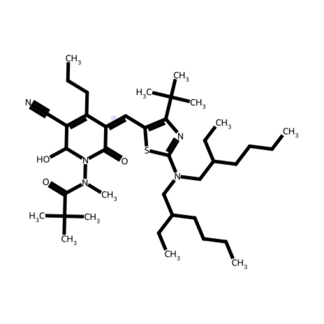 CCCCC(CC)CN(CC(CC)CCCC)c1nc(C(C)(C)C)c(/C=C2\C(=O)N(N(C)C(=O)C(C)(C)C)C(O)C(C#N)=C2CCC)s1